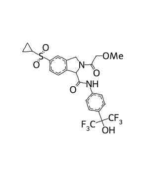 COCC(=O)N1Cc2cc(S(=O)(=O)C3CC3)ccc2C1C(=O)Nc1ccc(C(O)(C(F)(F)F)C(F)(F)F)cc1